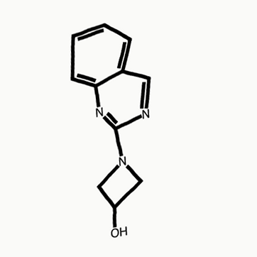 OC1CN(c2ncc3ccccc3n2)C1